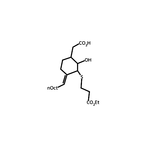 CCCCCCCCC=C1CCC(CC(=O)O)C(O)C1SCCC(=O)OCC